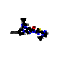 COC1CCN(c2cnc(C(=O)Nc3csc(-c4nccn4C4CC4)n3)cc2-n2cnc(C3CC3)c2)CC1